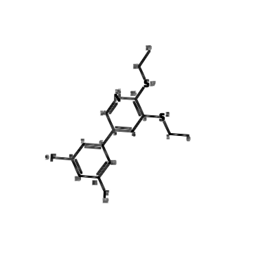 CCSc1cc(-c2cc(F)cc(F)c2)cnc1SCC